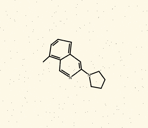 Cc1cccc2cc(N3CCCC3)ncc12